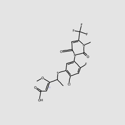 CO/C(=C\C(=O)O)C(C)Sc1cc(-n2c(=O)cc(C(F)(F)F)n(C)c2=O)c(F)cc1Cl